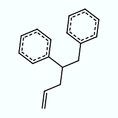 C=CCC(Cc1ccccc1)c1ccccc1